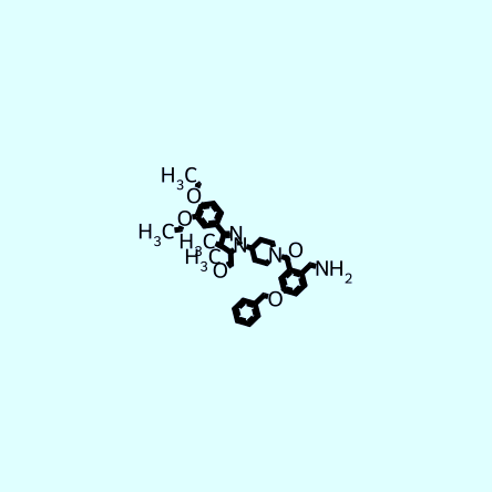 CCOc1ccc(C2=NN(C3CCN(C(=O)c4cc(OCc5ccccc5)ccc4CN)CC3)C(C=O)C2(C)C)cc1OCC